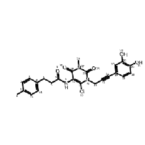 Cc1ccc(CCC(=O)Nc2c(Cl)n(CC#Cc3ccc(O)c(O)c3)c(=O)n(C)c2=O)cc1